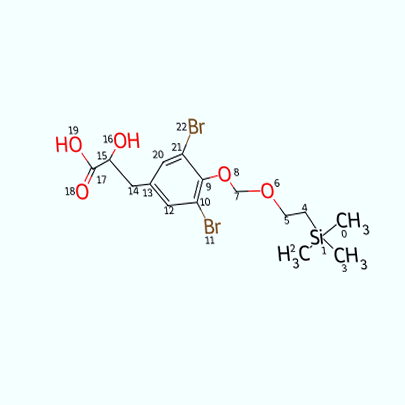 C[Si](C)(C)CCOCOc1c(Br)cc(CC(O)C(=O)O)cc1Br